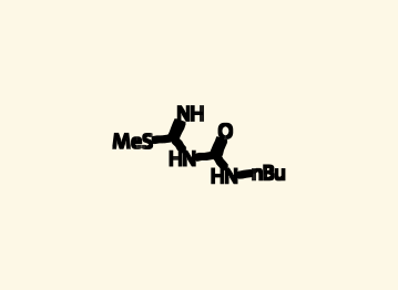 CCCCNC(=O)NC(=N)SC